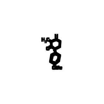 COc1ccc(N2CCNC(C)C2=O)cc1